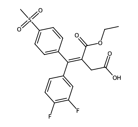 CCOC(=O)C(CC(=O)O)=C(c1ccc(S(C)(=O)=O)cc1)c1ccc(F)c(F)c1